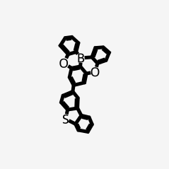 c1ccc2c(c1)Oc1cc(-c3ccc4sc5ccccc5c4c3)cc3c1B2c1ccccc1O3